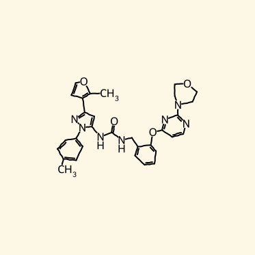 Cc1ccc(-n2nc(-c3ccoc3C)cc2NC(=O)NCc2ccccc2Oc2ccnc(N3CCOCC3)n2)cc1